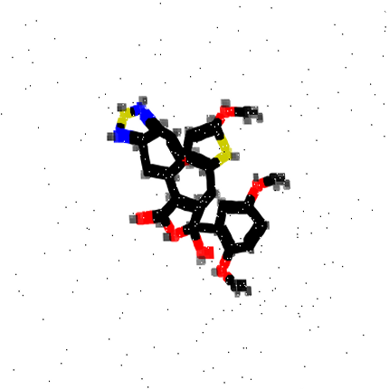 COc1ccc(OC)c(C2(O)OC(=O)C(c3ccc4nsnc4c3)=C2Cc2ccc(OC)s2)c1